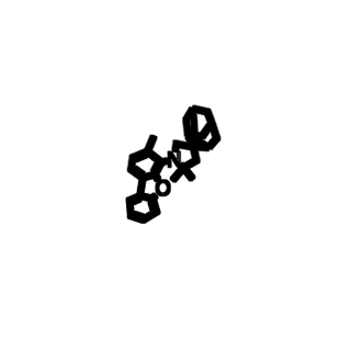 Cc1ccc2c(oc3ccccc32)c1N1CC2(CC1(C)C)C1CC3CC(C1)CC2C3